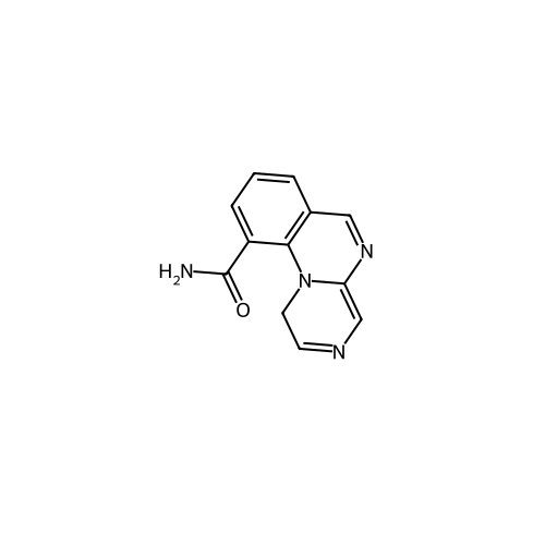 NC(=O)c1cccc2c1N1CC=NC=C1N=C2